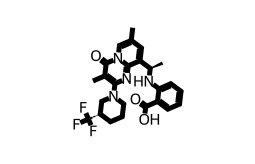 Cc1cc([C@@H](C)Nc2ccccc2C(=O)O)c2nc(N3CCC[C@H](C(F)(F)F)C3)c(C)c(=O)n2c1